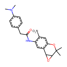 CN(C)c1ccc(CC(=O)Nc2cc3c(cc2[N+](=O)[O-])OC(C)(C)C2OC32)cc1